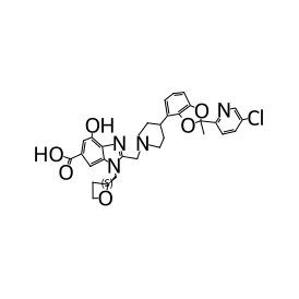 CC1(c2ccc(Cl)cn2)Oc2cccc(C3CCN(Cc4nc5c(O)cc(C(=O)O)cc5n4C[C@@H]4CCO4)CC3)c2O1